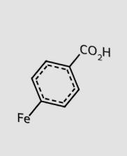 O=C(O)c1cc[c]([Fe])cc1